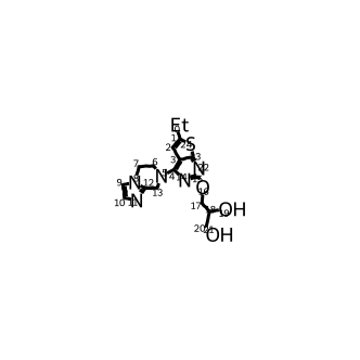 CCc1cc2c(N3CCn4ccnc4C3)nc(OCC(O)CO)nc2s1